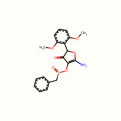 COc1cccc(OC)c1C1OC(N)=C(OS(=O)Cc2ccccc2)C1=O